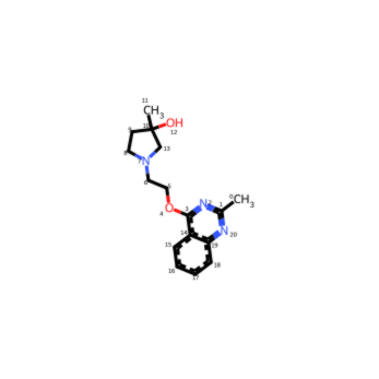 Cc1nc(OCCN2CCC(C)(O)C2)c2ccccc2n1